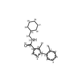 Cc1ccccc1-n1ncc(C(=O)NCC2CCCCC2)c1C